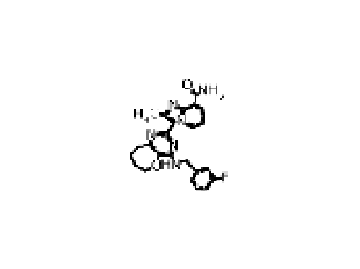 Cc1nc2c(C(N)=O)cccn2c1-c1nc2c(c(NCc3cccc(F)c3)n1)OCCCC2